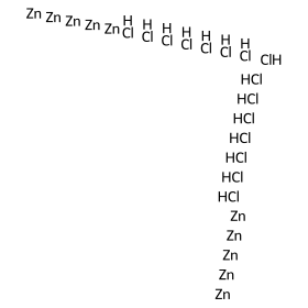 Cl.Cl.Cl.Cl.Cl.Cl.Cl.Cl.Cl.Cl.Cl.Cl.Cl.Cl.Cl.[Zn].[Zn].[Zn].[Zn].[Zn].[Zn].[Zn].[Zn].[Zn].[Zn]